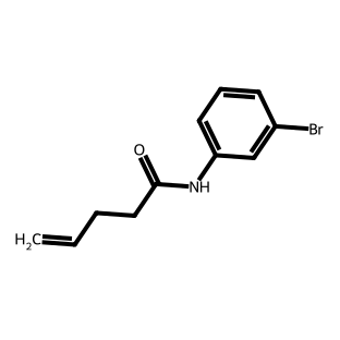 C=CCCC(=O)Nc1cccc(Br)c1